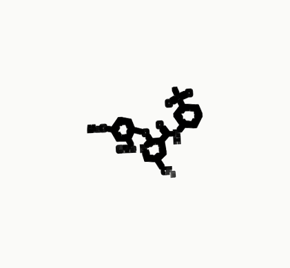 COc1ccc(Oc2ncc(C(F)(F)F)cc2C(=O)Nc2cccc(S(C)(=O)=O)c2)c(OC)c1